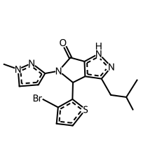 CC(C)Cc1n[nH]c2c1C(c1sccc1Br)N(c1ccn(C)n1)C2=O